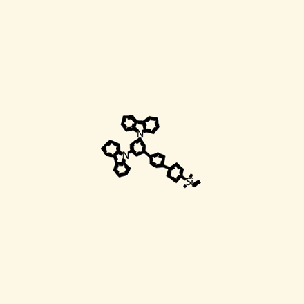 C=C[Si](C)(C)c1ccc(-c2ccc(-c3cc(-n4c5ccccc5c5ccccc54)cc(-n4c5ccccc5c5ccccc54)c3)cc2)cc1